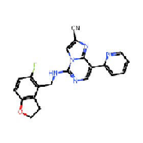 N#Cc1cn2c(NCc3c(F)ccc4c3CCO4)ncc(-c3ccccn3)c2n1